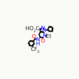 CCN1C(=O)C(NC(=O)c2cccc(C(F)(F)F)c2)Cc2c(C(=O)O)nn(-c3ccccc3)c21